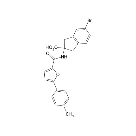 Cc1ccc(-c2ccc(C(=O)NC3(C(=O)O)Cc4ccc(Br)cc4C3)o2)cc1